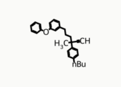 C#CC(C)(CCCc1cccc(Oc2ccccc2)c1)c1ccc(CCCC)cc1